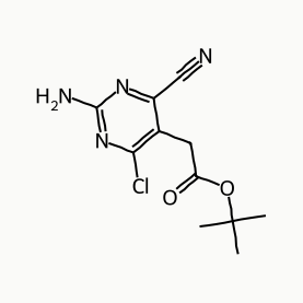 CC(C)(C)OC(=O)Cc1c(Cl)nc(N)nc1C#N